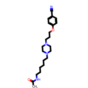 CC(=O)NCCCCCCN1CCN(CCCOc2ccc(C#N)cc2)CC1